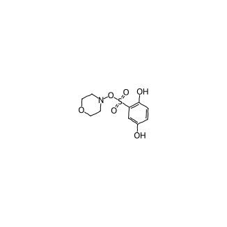 O=S(=O)(ON1CCOCC1)c1cc(O)ccc1O